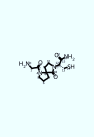 NCC(=O)N1CCCC12CCN([C@@H](CS)C(N)=O)C2=O